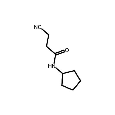 N#CCCC(=O)NC1CCCC1